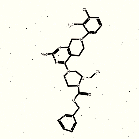 CSc1nc2c(c(N3CCN(C(=O)OCc4ccccc4)[C@@H](CC#N)C3)n1)CCN(c1cccc(Cl)c1C(F)(F)F)C2